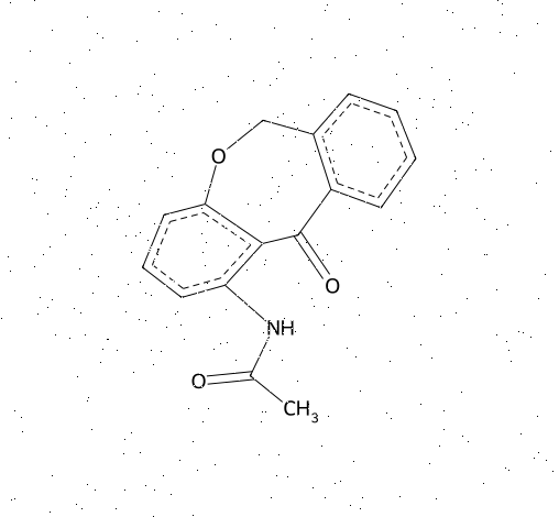 CC(=O)Nc1cccc2c1C(=O)c1ccccc1CO2